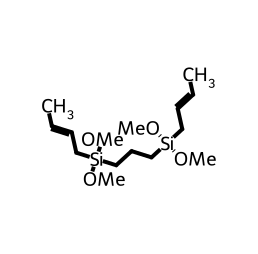 CC=CC[Si](CCC[Si](CC=CC)(OC)OC)(OC)OC